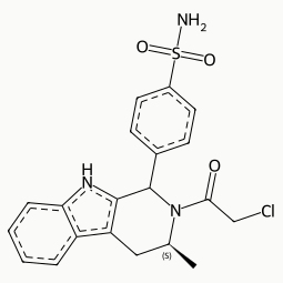 C[C@H]1Cc2c([nH]c3ccccc23)C(c2ccc(S(N)(=O)=O)cc2)N1C(=O)CCl